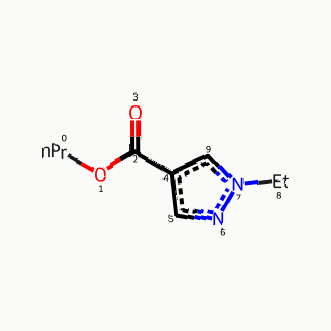 CCCOC(=O)c1cnn(CC)c1